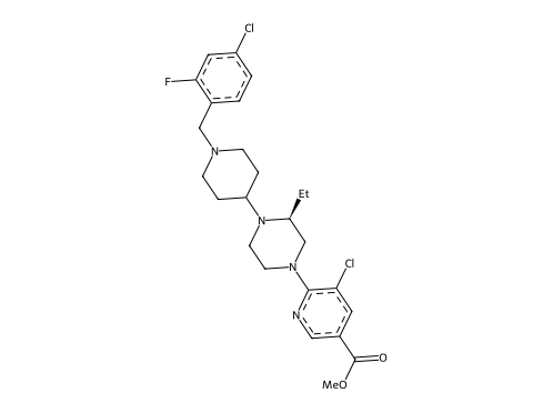 CC[C@H]1CN(c2ncc(C(=O)OC)cc2Cl)CCN1C1CCN(Cc2ccc(Cl)cc2F)CC1